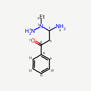 CCN(N)C(N)CC(=O)c1ccccc1